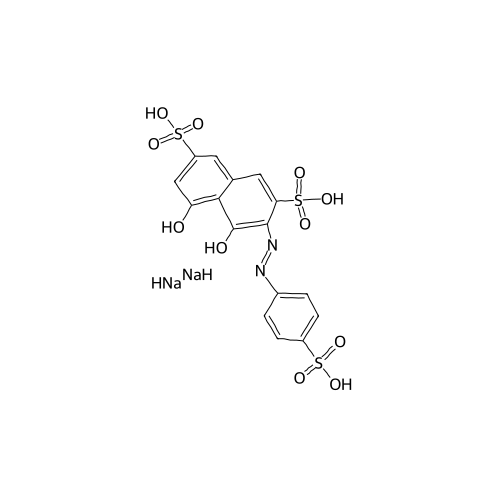 O=S(=O)(O)c1ccc(N=Nc2c(S(=O)(=O)O)cc3cc(S(=O)(=O)O)cc(O)c3c2O)cc1.[NaH].[NaH]